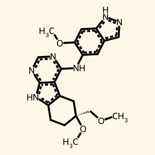 COC[C@]1(OC)CCc2[nH]c3ncnc(Nc4cc5cn[nH]c5cc4OC)c3c2C1